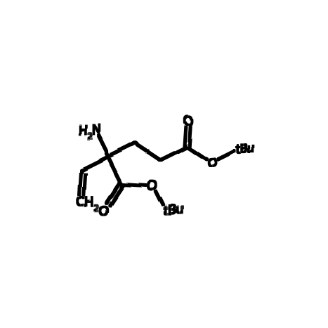 C=CC(N)(CCC(=O)OC(C)(C)C)C(=O)OC(C)(C)C